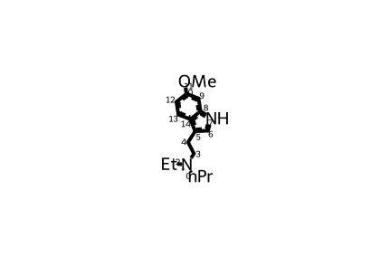 CCCN(CC)CCc1c[nH]c2cc(OC)ccc12